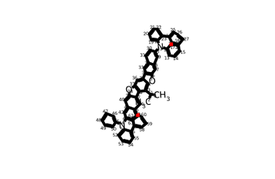 CC(C)c1c2oc3cc4cc(N(c5ccccc5)c5ccccc5-c5ccccc5)ccc4cc3c2cc2oc3cc4cc(N(c5ccccc5)c5ccccc5-c5ccccc5)ccc4cc3c12